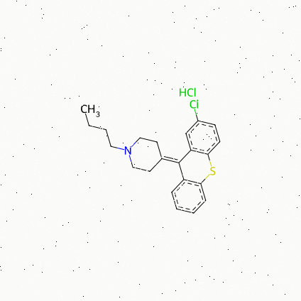 CCCCN1CCC(=C2c3ccccc3Sc3ccc(Cl)cc32)CC1.Cl